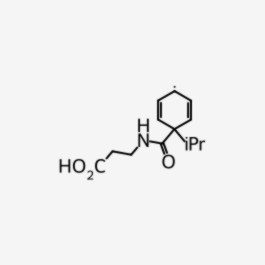 CC(C)C1(C(=O)NCCC(=O)O)C=C[CH]C=C1